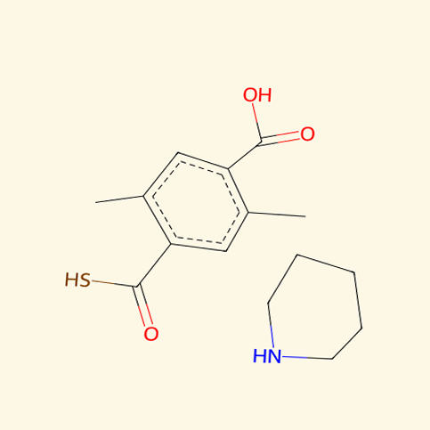 C1CCNCC1.Cc1cc(C(=O)S)c(C)cc1C(=O)O